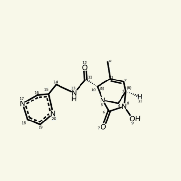 CC1=C[C@@H]2CN(C(=O)N2O)[C@@H]1C(=O)NCc1cnccn1